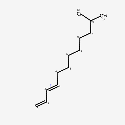 C=C/C=C/CCCCCCC(O)Cl